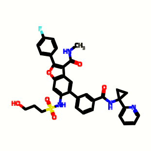 CNC(=O)c1c(-c2ccc(F)cc2)oc2cc(NS(=O)(=O)CCCO)c(-c3cccc(C(=O)NC4(c5ccccn5)CC4)c3)cc12